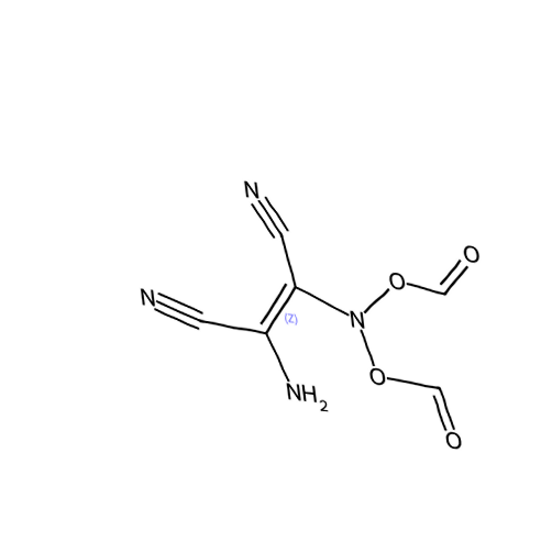 N#C/C(N)=C(\C#N)N(OC=O)OC=O